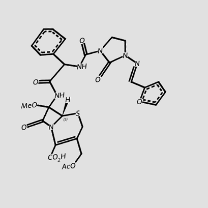 COC1(NC(=O)C(NC(=O)N2CCN(N=Cc3ccco3)C2=O)c2ccccc2)C(=O)N2C(C(=O)O)=C(COC(C)=O)CS[C@H]21